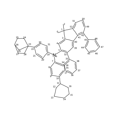 CC1(C)c2cc(N(c3ccc(C4CCCCC4)cc3)c3ccc(C45CCC(CC4)C5)cc3)c(-c3ccccc3)cc2-c2c(-c3ccccc3)cccc21